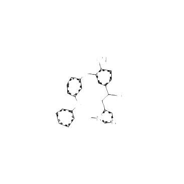 Cn1cncc1CC(O)c1ccc(C#N)c(Oc2cccc(Oc3ccccc3)c2)c1